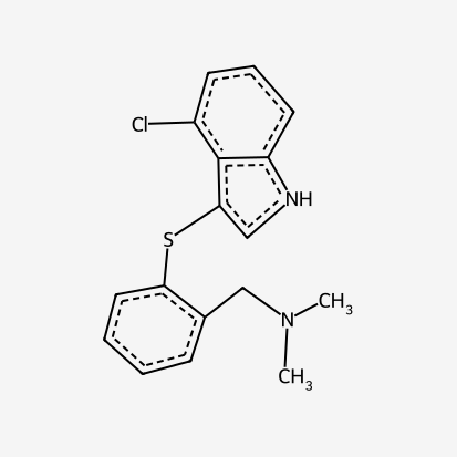 CN(C)Cc1ccccc1Sc1c[nH]c2cccc(Cl)c12